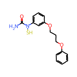 NC(=O)N(S)c1cccc(OCCCOc2ccccc2)c1